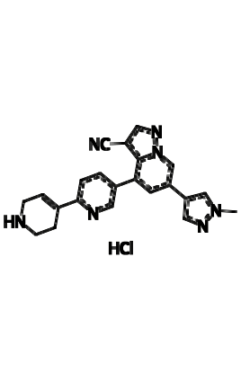 Cl.Cn1cc(-c2cc(-c3ccc(C4=CCNCC4)nc3)c3c(C#N)cnn3c2)cn1